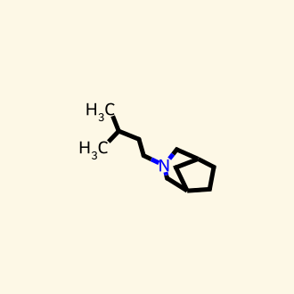 CC(C)CCN1CC2CCC(C2)C1